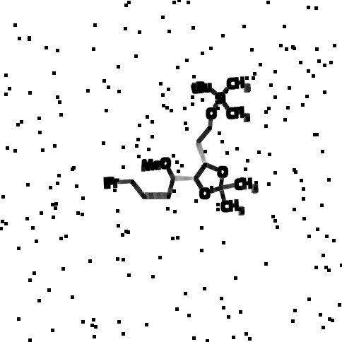 COC(/C=C\CC(C)C)[C@H]1OC(C)(C)O[C@H]1CCO[Si](C)(C)C(C)(C)C